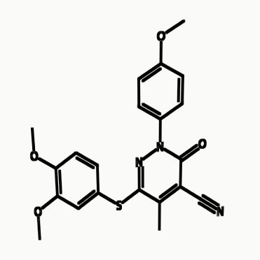 COc1ccc(-n2nc(Sc3ccc(OC)c(OC)c3)c(C)c(C#N)c2=O)cc1